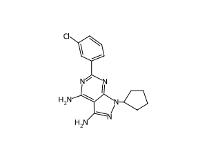 Nc1nc(-c2cccc(Cl)c2)nc2c1c(N)nn2C1CCCC1